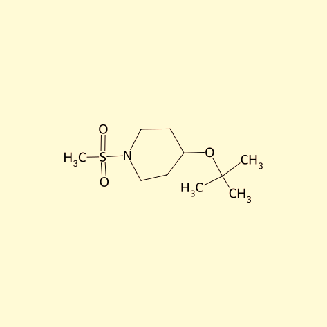 CC(C)(C)OC1CCN(S(C)(=O)=O)CC1